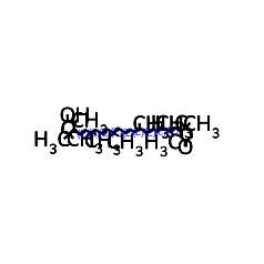 CC1=C(/C=C/C(C)=C/C=C/C(C)=C/C=C/C=C(C)/C=C/C=C(C)/C=C/C2C(C)C(O)CCC2(C)C)C(C)(C)CCC1=O